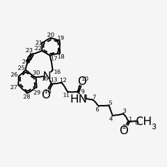 CC(=O)CCCCCNC(=O)CCC(=O)N1Cc2ccccc2C#Cc2ccccc21